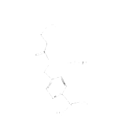 CCCC(=O)SCc1ccc(N(C)C)cc1.Cl.Cl